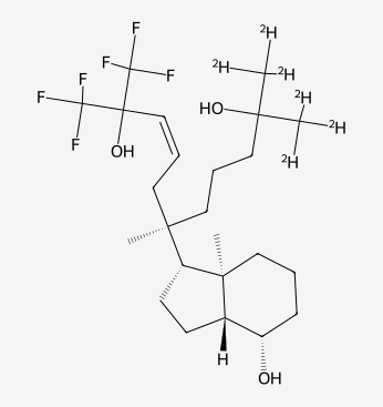 [2H]C([2H])([2H])C(O)(CCC[C@](C)(C/C=C\C(O)(C(F)(F)F)C(F)(F)F)[C@H]1CC[C@H]2[C@@H](O)CCC[C@]12C)C([2H])([2H])[2H]